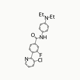 CCN(CC)c1ccc(NC(=O)c2ccc(-c3ncccc3Cl)c(F)c2)cc1